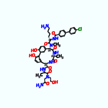 C[C@@H]1NC(=O)[C@@H](N(C)C(=O)[C@H](CCCCN)NC(=O)c2ccc(-c3ccc(Cl)cc3)cc2)c2ccc(O)c(c2)-c2cc(ccc2O)C[C@@H](C(=O)N[C@@H](C)C(=O)N(CCO)CC(N)=O)NC1=O